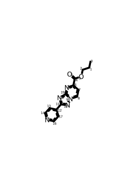 CCCOC(=O)c1ccn2nc(-c3ccncc3)nc2n1